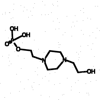 O=P(O)(O)OCCN1CCN(CCO)CC1